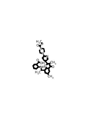 COC(=O)N1CCN(c2ccc(-c3oc4c([C@@H](C)Nc5ccccc5C(=O)O)cc(C)cc4c(=O)c3C)cn2)CC1